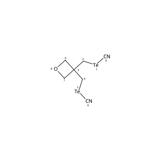 N#C[Te]CC1(C[Te]C#N)COC1